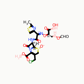 BOC(=O)C1=C(CCl)C[S+]([O-])[C@@H]2[C@H](NC(=O)/C(=N\O[C@@H](CBOC=O)C(=O)BO)c3csc(C)n3)C(=O)N12